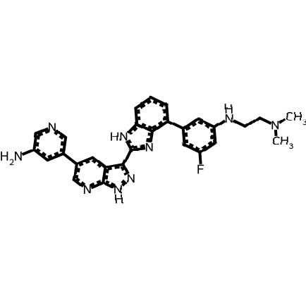 CN(C)CCNc1cc(F)cc(-c2cccc3[nH]c(-c4n[nH]c5ncc(-c6cncc(N)c6)cc45)nc23)c1